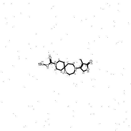 CC1=C(N2CCOC3(CCN(C(=O)OC(C)(C)C)CC3)CC2)COC1=O